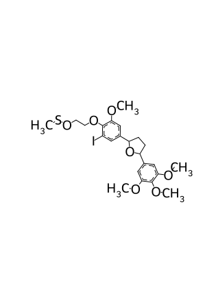 COc1cc(C2CCC(c3cc(OC)c(OC)c(OC)c3)O2)cc(I)c1OCCOSC